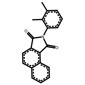 Cc1cccc(N2C(=O)c3ccc4ccccc4c3C2=O)c1C